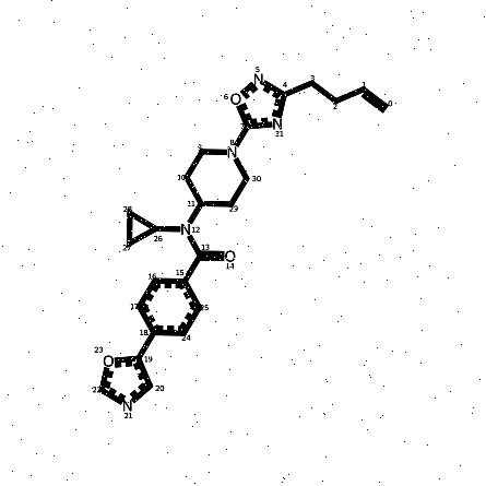 C=CCCc1noc(N2CCC(N(C(=O)c3ccc(-c4cnco4)cc3)C3CC3)CC2)n1